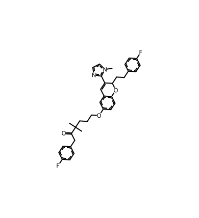 Cn1ccnc1C1=Cc2cc(OCCCC(C)(C)C(=O)Cc3ccc(F)cc3)ccc2OC1CCc1ccc(F)cc1